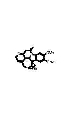 CCC1N2CC[C@@]13c1cc(OC)c(OC)cc1N1C(=O)CC4OCC=C(C2)C4C13